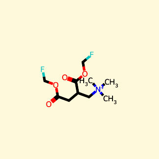 C[N+](C)(C)CC(CC(=O)OCF)C(=O)OCF